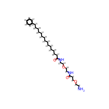 NCCOCCC(=O)NCCOCCNC(=O)CCCCCCCCCCCCCCCc1ccccc1